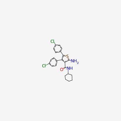 Nc1sc(-c2ccc(Cl)cc2)c(-c2ccc(Cl)cc2)c1C(=O)NC1CCCCC1